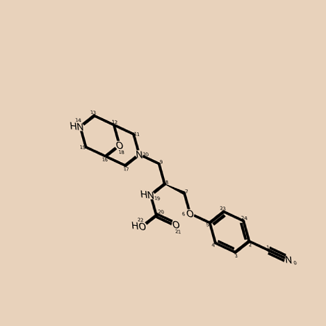 N#Cc1ccc(OC[C@H](CN2CC3CNCC(C2)O3)NC(=O)O)cc1